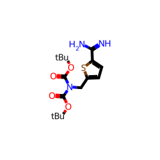 CC(C)(C)OC(=O)N(Cc1ccc(C(=N)N)s1)C(=O)OC(C)(C)C